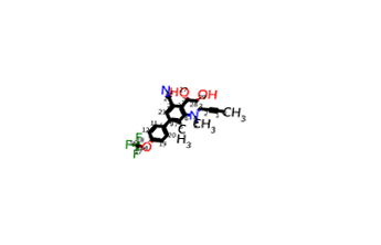 CC#CCN(C)c1c(C)c(-c2ccc(OC(F)(F)F)cc2)cc(C#N)c1C(O)CO